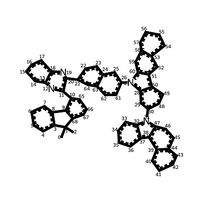 CC1(C)c2ccccc2-c2c(-c3nc4ccccc4nc3-c3ccc4cc(-n5c6cc(-n7c8ccccc8c8c9ccccc9ccc87)ccc6c6cc7ccccc7cc65)ccc4c3)cccc21